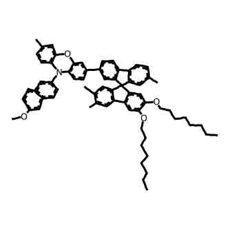 CCCCCCCCOc1cc2c(cc1OCCCCCCCC)C1(c3cc(C)ccc3-c3ccc(-c4ccc5c(c4)Oc4cc(C)ccc4N5c4ccc5cc(OC)ccc5c4)cc31)c1cc(C)c(C)cc1-2